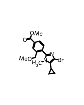 COCc1cc(C(=O)OC)ccc1-c1nc(Br)c(C2CC2)n1C